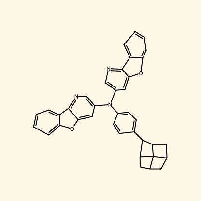 c1ccc2c(c1)oc1cc(N(c3ccc(C4C5CC6CC7CC4C675)cc3)c3cnc4c(c3)oc3ccccc34)cnc12